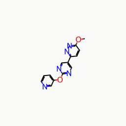 COc1ccc(-c2cnc(Oc3cccnc3)nc2)nn1